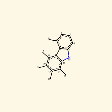 Cc1cccc2c1-c1c(C)c(C)c(C)c(C)c1[N]2